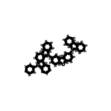 c1ccc(-n2c3ccccc3c3c2ccc2c4ccccc4n(-c4ccc5oc6ccc(-n7c8ccccc8c8ccccc87)cc6c5c4)c23)cc1